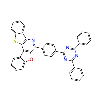 c1ccc(-c2nc(-c3ccccc3)nc(-c3ccc(-c4nc5c6ccccc6sc5c5c4oc4ccccc45)cc3)n2)cc1